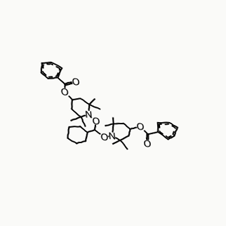 CC1(C)CC(OC(=O)c2ccccc2)CC(C)(C)N1OC(ON1C(C)(C)CC(OC(=O)c2ccccc2)CC1(C)C)C1CCCCC1